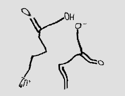 C=CC(=O)[O-].O=C(O)C[CH2][Zn+]